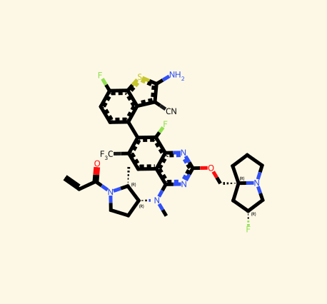 C=CC(=O)N1CC[C@@H](N(C)c2nc(OC[C@]34CCCN3C[C@H](F)C4)nc3c(F)c(-c4ccc(F)c5sc(N)c(C#N)c45)c(C(F)(F)F)cc23)[C@H]1C